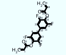 C=CC(=O)Oc1c(F)cc(-c2cc(F)c(OC(=O)C=C)c(F)c2)cc1F